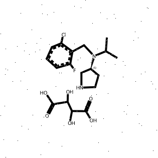 CC(C)N(Cc1c(F)cccc1Cl)[C@H]1CCNC1.O=C(O)C(O)C(O)C(=O)O